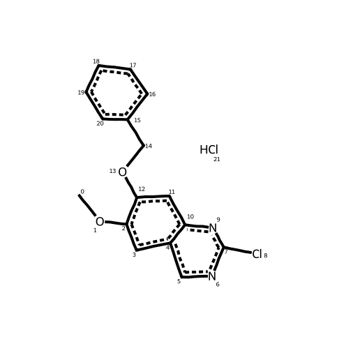 COc1cc2cnc(Cl)nc2cc1OCc1ccccc1.Cl